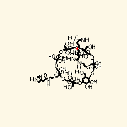 CC(=N)CCCCCCC(=N)NCCSCC1OC2OC3C(CO)CC(OC4C(CO)OC(OC5C(CSCCNC(=O)Cc6c[nH]cn6)OC(OC6C(CO)OC(OC7C(CO)OC(OC8C(CO)OC(OC1C(O)C2O)C(O)C8O)C(O)C7O)C(O)C6O)C(O)C5O)C(O)C4O)C(O)C3O